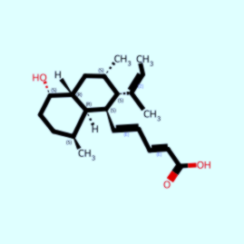 C/C=C(/C)[C@@H]1[C@@H](/C=C/C=C/C(=O)O)[C@@H]2[C@@H](C[C@@H]1C)[C@@H](O)CC[C@@H]2C